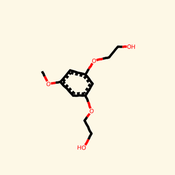 COc1cc(OCCO)cc(OCCO)c1